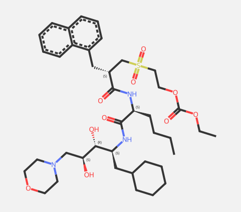 CCCC[C@H](NC(=O)[C@H](Cc1cccc2ccccc12)CS(=O)(=O)CCOC(=O)OCC)C(=O)N[C@@H](CC1CCCCC1)[C@@H](O)[C@@H](O)CN1CCOCC1